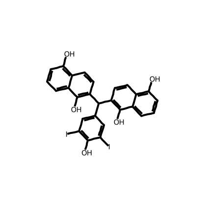 Oc1c(I)cc(C(c2ccc3c(O)cccc3c2O)c2ccc3c(O)cccc3c2O)cc1I